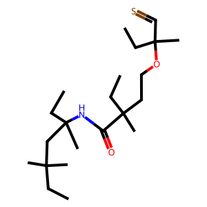 CCC(C)(C)CC(C)(CC)NC(=O)C(C)(CC)CCOC(C)(C=S)CC